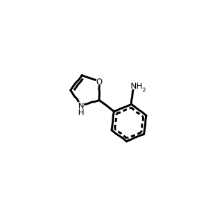 Nc1ccccc1C1NC=CO1